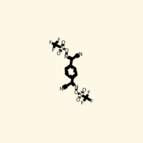 N#CC(=NOS(=O)(=O)C(F)(F)F)c1ccc(C(C#N)=NOS(=O)(=O)C(F)(F)F)cc1